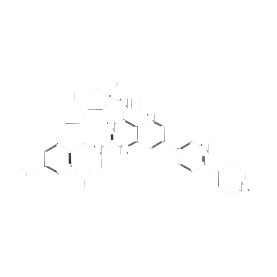 CCCC[C@](C)(CO)Nc1nc(NCc2ccc(OC)cc2OC)nc2cc(-c3ccc(C4CCN(C)CC4)nc3)cnc12